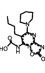 CCCCc1c(N2CCCCC2)nc2nc(=O)on2c1NC(=O)O